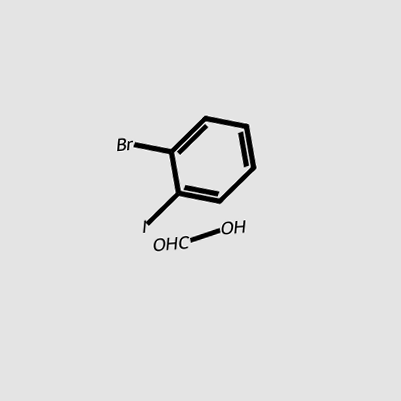 Brc1ccccc1I.O=CO